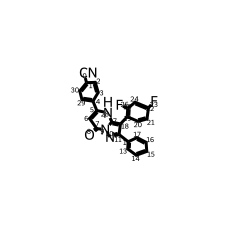 N#Cc1ccc(-c2cc(=O)n3nc(-c4ccccc4)c(-c4ccc(F)cc4F)c3[nH]2)cc1